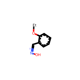 CCOc1ccccc1/C=N\O